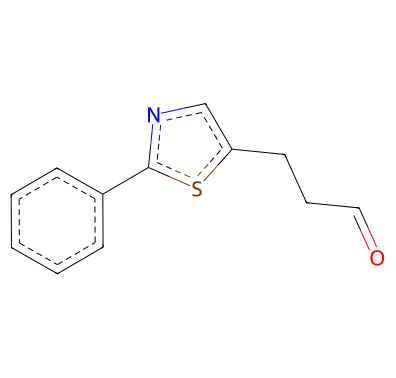 O=CCCc1cnc(-c2ccccc2)s1